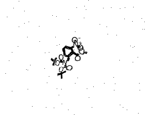 COC(=O)c1c(CN(C(=O)OC(C)(C)C)C(=O)OC(C)(C)C)cccc1[N+](=O)[O-]